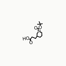 CC(C)(C)OC(=O)N1CCCC(CCC(=O)O)C1